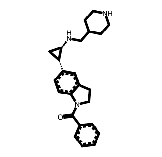 O=C(c1ccccc1)N1CCc2cc([C@@H]3C[C@H]3NCC3CCNCC3)ccc21